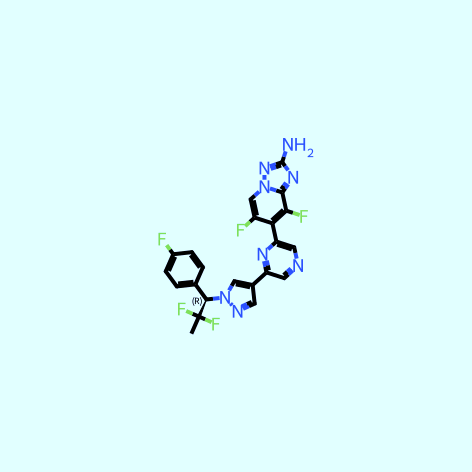 CC(F)(F)[C@@H](c1ccc(F)cc1)n1cc(-c2cncc(-c3c(F)cn4nc(N)nc4c3F)n2)cn1